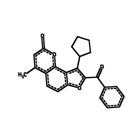 Cc1cc(=O)oc2c1ccc1oc(C(=O)c3ccccc3)c(C3CCCC3)c12